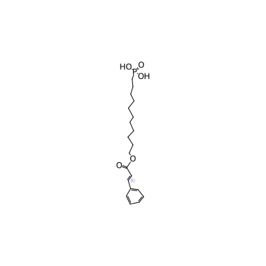 O=C(/C=C/c1ccccc1)OCCCCCCCCCCCP(=O)(O)O